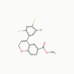 COC(=O)c1ccc2c(c1)C(c1cc(Cl)c(F)cc1F)=CCO2